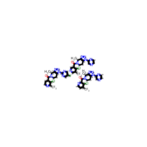 C[C@@H]1c2nnn(-c3cnccn3)c2CCN1C(=O)c1cncc(C(F)(F)F)c1Cl.C[C@@H]1c2nnn(-c3cnccn3)c2CCN1C(=O)c1nccc(C(F)(F)F)c1Cl.C[C@@H]1c2nnn(-c3ncc(F)cn3)c2CCN1C(=O)c1ccnc(C(F)(F)F)c1Cl